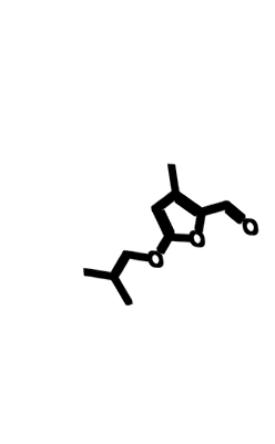 Cc1cc(OCC(C)C)oc1C=O